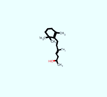 CC1=C(CC/C(C)=C/CC(C)O)C(C)(C)CCC1